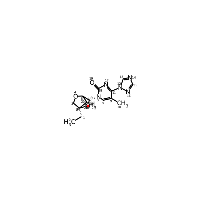 CC[C@@]12COC([C@H](n3cc(C)c(-n4cncn4)nc3=O)O1)[C@H]2C